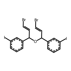 BrC=CC(OC(C=CBr)c1cccc(I)c1)c1cccc(I)c1